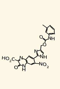 Cc1cccc(NC(=O)OCc2c[nH]c(-c3cc4nc(C(=O)O)c(=O)[nH]c4cc3[N+](=O)[O-])n2)c1